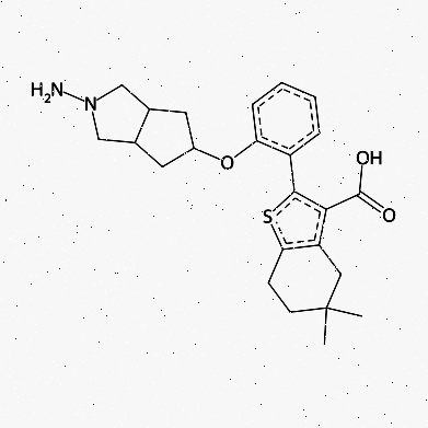 CC1(C)CCc2sc(-c3ccccc3OC3CC4CN(N)CC4C3)c(C(=O)O)c2C1